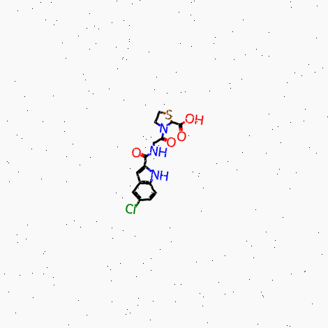 O=C(NCC(=O)N1CCSC1C(=O)O)c1cc2cc(Cl)ccc2[nH]1